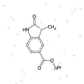 CCCOC(=O)c1ccc2c(c1)C(C)C(=O)N2